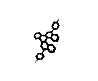 Fc1ccc(-c2cc3c4ccccc4c4cc(-c5ccc(F)cc5)c5ccccc5c4c3c3ccccc23)cc1